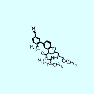 CNC(=N)N(C)C(=O)C1CC(CCCOC)Oc2ccc(-c3cc(C#N)ccc3C)cc21